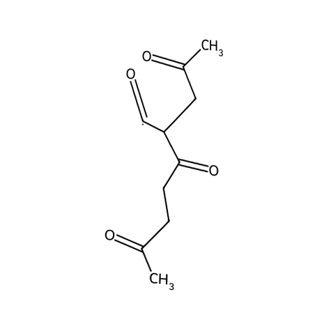 CC(=O)CCC(=O)C([C]=O)CC(C)=O